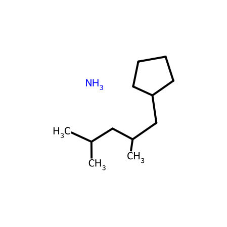 CC(C)CC(C)CC1CCCC1.N